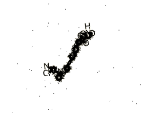 N#Cc1ccc(-c2nn(Cc3ccc(C#CC4CCN(C5CCN(c6ccc7c(c6)C(=O)N(C6CCC(=O)NC6=O)C7=O)CC5)CC4)cc3)c3c2CCCC3)cc1Cl